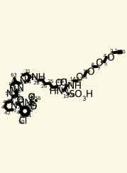 C#CCOCCOCCOCCOCCNC(=O)[C@H](CS(=O)(=O)O)NC(=O)CCCCCN[C@H]1CCN(c2nc3cc([C@@H]4CCCCN4C(=O)c4cc(Cl)ccc4NS(C)(=O)=O)nn3cc2C)C1